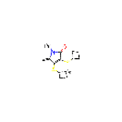 C=C1C(SC2CC[C@H]2C)=C(SC2CCC2)C(=O)N1C(C)C